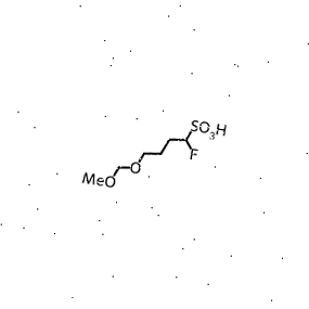 COCOCCCC(F)S(=O)(=O)O